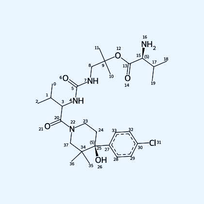 CC(C)C(NC(=O)NCC(C)(C)OC(=O)[C@@H](N)C(C)C)C(=O)N1CC[C@](O)(c2ccc(Cl)cc2)C(C)(C)C1